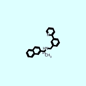 C[C@@H](NCc1cccc(-c2ccccn2)c1)c1ccc2ccccc2c1